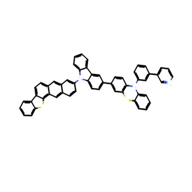 c1cncc(-c2cccc(N3c4ccccc4Sc4cc(-c5ccc6c(c5)c5ccccc5n6-c5ccc6cc7c(ccc8c9ccccc9sc78)cc6c5)ccc43)c2)c1